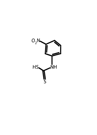 O=[N+]([O-])c1cccc(NC(=S)S)c1